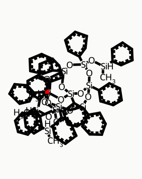 C[SiH](O[Si]1(c2ccccc2)O[Si]2(c3ccccc3)O[Si](O[SiH](C)c3ccccc3)(c3ccccc3)O[Si](c3ccccc3)(O1)O[Si]1(c3ccccc3)O[Si](O[SiH](C)c3ccccc3)(c3ccccc3)O[Si](c3ccccc3)(O[Si](O[SiH](C)c3ccccc3)(c3ccccc3)O1)O2)c1ccccc1